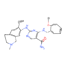 CCOc1ccccc1CNc1nc(Nc2cc3c(cc2OC)CCN(C)C3)ncc1C(N)=O